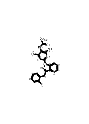 COC(=O)Nc1c(N)nc(-n2nc(Cc3ccccc3F)c3ncccc32)nc1N